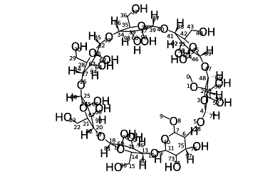 COC1O[C@@H]2O[C@@H]3C(OC)O[C@H](O[C@@H]4C(CO)O[C@H](O[C@@H]5C(CO)O[C@H](O[C@@H]6C(CO)O[C@H](O[C@@H]7C(CO)O[C@H](O[C@@H]8C(CO)O[C@H](O[C@H]1[C@H](O)C2O)C(O)[C@H]8O)C(O)[C@H]7O)C(O)[C@H]6O)C(O)[C@H]5O)C(O)[C@H]4O)C(O)[C@H]3O